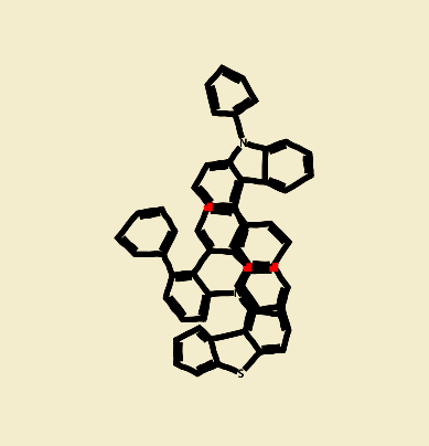 c1ccc(-c2ccccc2-c2c(-c3ccccc3)cccc2N(c2cccc(-c3cccc4c3c3ccccc3n4-c3ccccc3)c2)c2cccc3sc4ccccc4c23)cc1